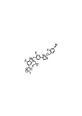 COC(=O)c1cc(F)c2nc(Cc3ccc(-c4ccnc(OCc5ccc(C#N)cc5F)n4)cc3F)n(CC3(CF)CC3)c2c1